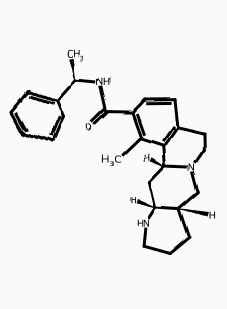 Cc1c(C(=O)N[C@H](C)c2ccccc2)ccc2c1[C@H]1C[C@H]3NCCC[C@H]3CN1CC2